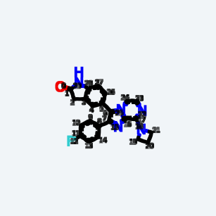 O=C1Cc2cc(-c3c(-c4ccc(F)cc4)nc4c(N5CCC5)nccn34)ccc2N1